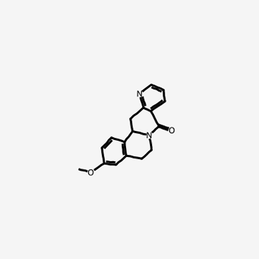 COc1ccc2c(c1)CCN1C(=O)c3cccnc3CC21